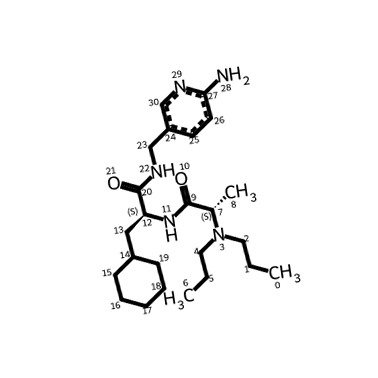 CCCN(CCC)[C@@H](C)C(=O)N[C@@H](CC1CCCCC1)C(=O)NCc1ccc(N)nc1